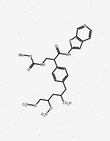 CC(C)(C)OC(=O)NCC(C(=O)Nc1cc2ccncc2s1)c1ccc(CC(CC(CO[N+](=O)[O-])O[N+](=O)[O-])C(=O)O)cc1